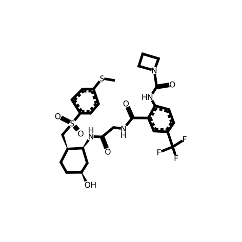 CSc1ccc(S(=O)(=O)C[C@@H]2CC[C@H](O)C[C@@H]2NC(=O)CNC(=O)c2cc(C(F)(F)F)ccc2NC(=O)N2CCC2)cc1